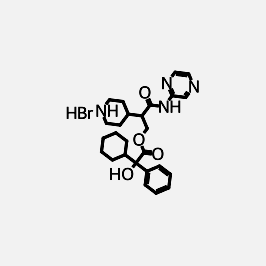 Br.O=C(Nc1cnccn1)C(COC(=O)C(O)(c1ccccc1)C1CCCCC1)C1CCNCC1